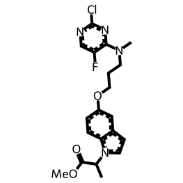 COC(=O)C(C)n1ccc2cc(OCCCN(C)c3nc(Cl)ncc3F)ccc21